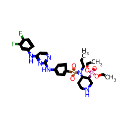 CCCN(C1CCNCC1P(=O)(OCC)OCC)S(=O)(=O)c1ccc(Nc2nccc(Nc3ccc(F)c(F)c3)n2)cc1